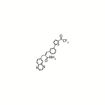 NC(=O)/C(=C\c1cccc(-c2ccc(C(=O)C(F)(F)F)s2)c1)Cc1ccc2nccnc2c1